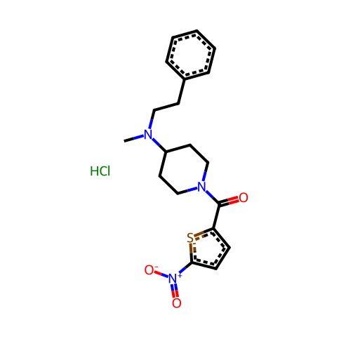 CN(CCc1ccccc1)C1CCN(C(=O)c2ccc([N+](=O)[O-])s2)CC1.Cl